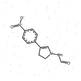 O=CBN1C=C(c2ccc([N+](=O)[O-])cc2)CC1